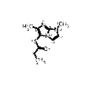 CCC(=O)Sc1c(C)nc2n(C)ccn12